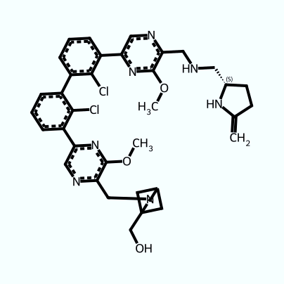 C=C1CC[C@@H](CNCc2ncc(-c3cccc(-c4cccc(-c5cnc(CN6CC7CC6(CO)C7)c(OC)n5)c4Cl)c3Cl)nc2OC)N1